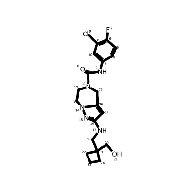 O=C(Nc1ccc(F)c(Cl)c1)N1CCn2nc(NCC3(CO)CCC3)cc2C1